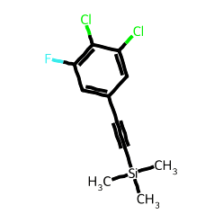 C[Si](C)(C)C#Cc1cc(F)c(Cl)c(Cl)c1